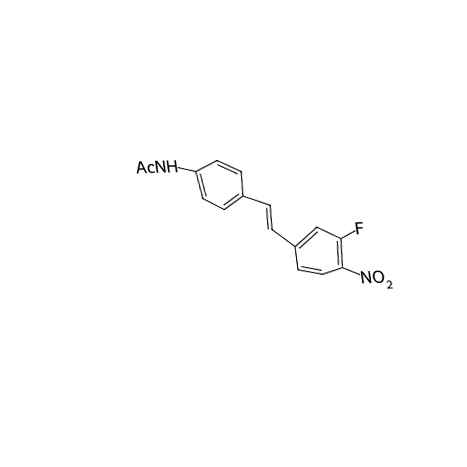 CC(=O)Nc1ccc(/C=C/c2ccc([N+](=O)[O-])c(F)c2)cc1